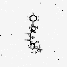 Cc1c(C(=O)NC(C)c2nc(N3CCCCC3)ns2)n[nH]c1C(F)(F)F